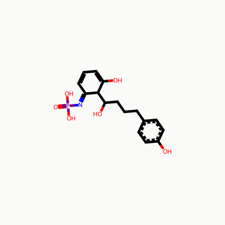 O=P(O)(O)/N=C1\C=CC=C(O)C1C(O)CCCc1ccc(O)cc1